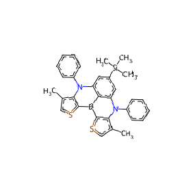 Cc1csc2c1N(c1ccccc1)c1cc([Si](C)(C)C)cc3c1B2c1scc(C)c1N3c1ccccc1